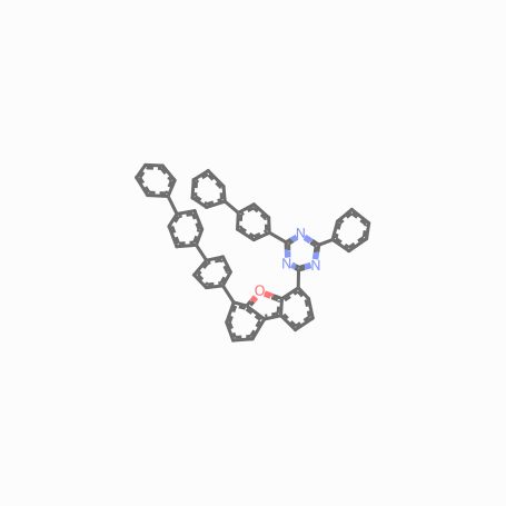 c1ccc(-c2ccc(-c3ccc(-c4cccc5c4oc4c(-c6nc(-c7ccccc7)nc(-c7ccc(-c8ccccc8)cc7)n6)cccc45)cc3)cc2)cc1